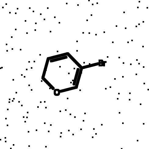 BrC1=COCC=C1